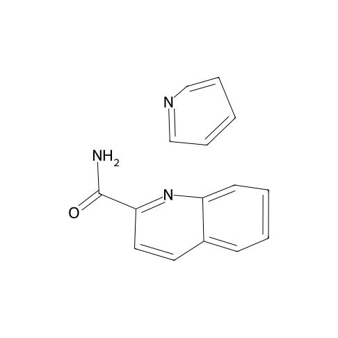 NC(=O)c1ccc2ccccc2n1.c1ccncc1